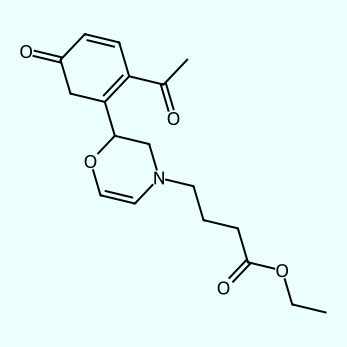 CCOC(=O)CCCN1C=COC(C2=C(C(C)=O)C=CC(=O)C2)C1